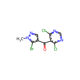 Cn1ncc(C(=O)c2c(Cl)ncnc2Cl)c1Br